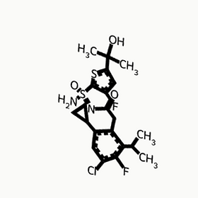 CC(C)c1c(F)c(Cl)cc(C2CC2)c1CC(=O)N=S(N)(=O)c1sc(C(C)(C)O)cc1F